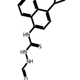 O=CNNC(=S)Nc1ccc(C2CC2)c2ccccc12